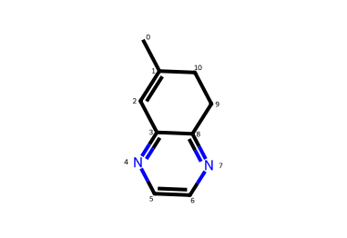 CC1=Cc2nccnc2CC1